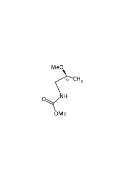 COC(=O)NC[C@H](C)OC